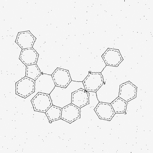 c1ccc(-c2nc(-c3ccc(-n4c5ccccc5c5cc6ccccc6cc54)c(-c4cccc5oc6ccc7ccccc7c6c45)c3)nc(-c3cccc4sc5ccccc5c34)n2)cc1